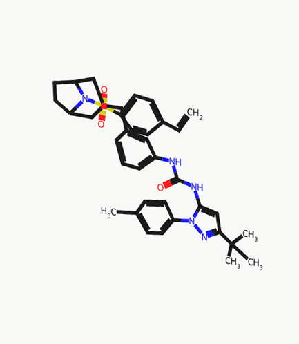 C=Cc1ccc(S(=O)(=O)N2C3CCC2CC(Cc2cccc(NC(=O)Nc4cc(C(C)(C)C)nn4-c4ccc(C)cc4)c2)C3)cc1